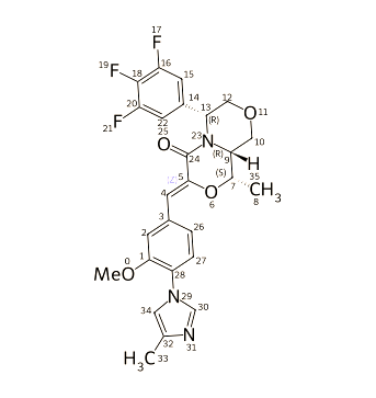 COc1cc(/C=C2\O[C@@H](C)[C@H]3COC[C@@H](c4cc(F)c(F)c(F)c4)N3C2=O)ccc1-n1cnc(C)c1